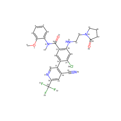 COc1ccccc1N(C)C(=O)c1cc(-c2cnc(C(F)(F)F)cc2C#N)c(Cl)cc1NCCN1CCCC1=O